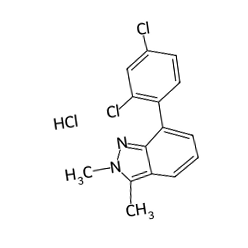 Cc1c2cccc(-c3ccc(Cl)cc3Cl)c2nn1C.Cl